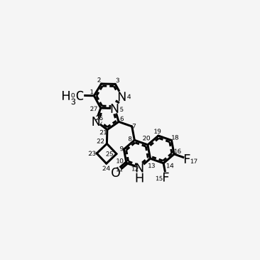 Cc1ccnn2c(Cc3cc(=O)[nH]c4c(F)c(F)ccc34)c(C3CCC3)nc12